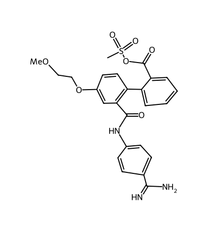 COCCOc1ccc(-c2ccccc2C(=O)OS(C)(=O)=O)c(C(=O)Nc2ccc(C(=N)N)cc2)c1